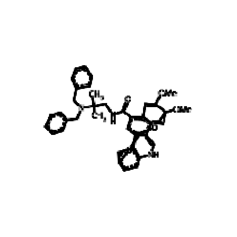 COC1=Cc2c(C(=O)NCC(C)(C)N(Cc3ccccc3)Cc3ccccc3)cc3c4c2=CC1(OC)OCOc1ccc(c-3c1)NC=4